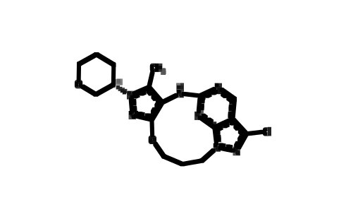 Cc1c2c(nn1[C@H]1CCCOC1)OCCCn1nc(Cl)c3cnc(nc31)N2